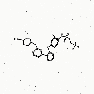 NC1CCC(Nc2nccc(-c3cccnc3Oc3ccc(NS(=O)(=O)CCC(F)(F)F)c(F)c3)n2)CC1